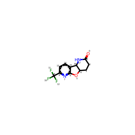 O=C1CCC2Oc3nc(C(F)(F)F)ccc3C2N1